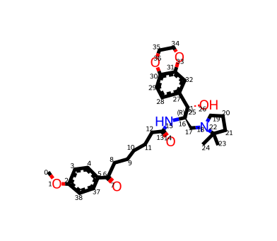 COc1ccc(C(=O)CCCCCC(=O)N[C@H](CN2CCCC2(C)C)[C@@H](O)c2ccc3c(c2)OCCO3)cc1